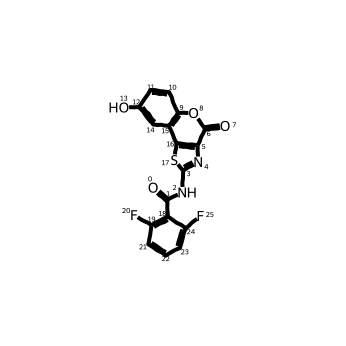 O=C(Nc1nc2c(=O)oc3ccc(O)cc3c2s1)c1c(F)cccc1F